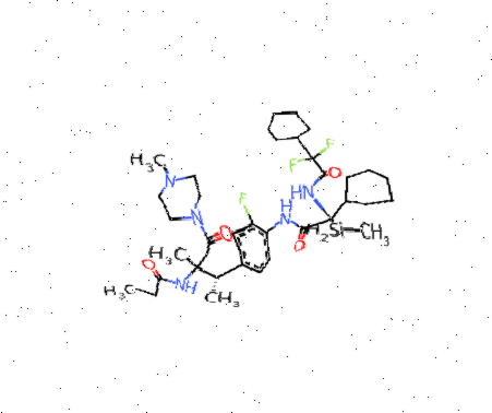 CCC(=O)NC(C)(C(=O)N1CCN(C)CC1)[C@@H](C)c1ccc(NC(=O)[C@@](NC(=O)C(F)(F)C2CCCCC2)([SiH2]C)C2CCCCC2)c(F)c1